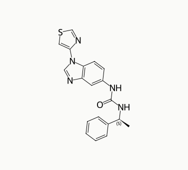 C[C@H](NC(=O)Nc1ccc2c(c1)ncn2-c1cscn1)c1ccccc1